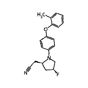 Cc1ccccc1Oc1ccc(N2C[C@@H](F)C[C@H]2CC#N)cc1